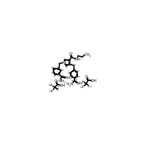 CCCNC(=O)c1cn(Cc2cccc(C(=N)N)c2)cc1Cc1ccc(C(=N)N)cc1.O=C(O)C(F)(F)F.O=C(O)C(F)(F)F